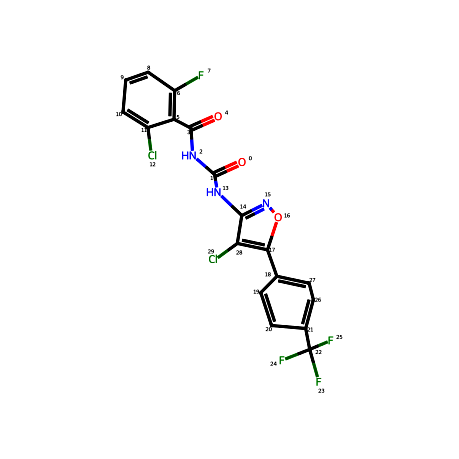 O=C(NC(=O)c1c(F)cccc1Cl)Nc1noc(-c2ccc(C(F)(F)F)cc2)c1Cl